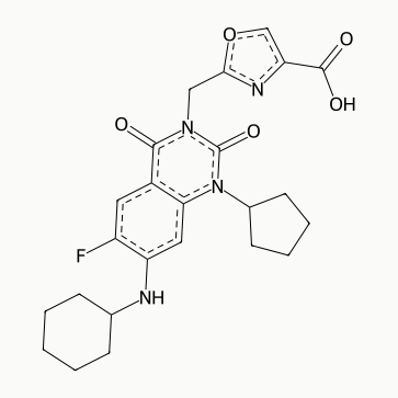 O=C(O)c1coc(Cn2c(=O)c3cc(F)c(NC4CCCCC4)cc3n(C3CCCC3)c2=O)n1